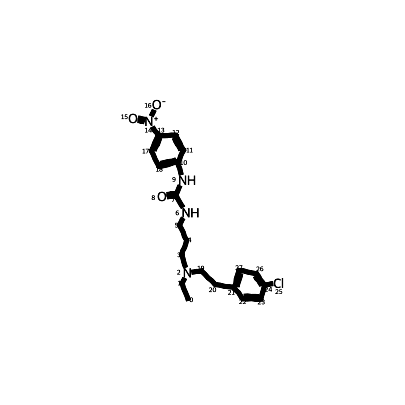 CCN(CCCNC(=O)Nc1ccc([N+](=O)[O-])cc1)CCc1ccc(Cl)cc1